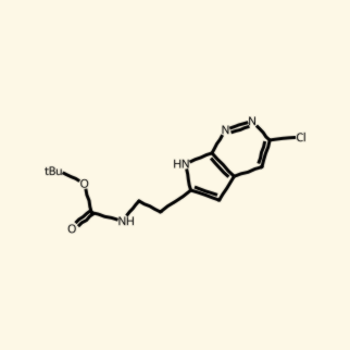 CC(C)(C)OC(=O)NCCc1cc2cc(Cl)nnc2[nH]1